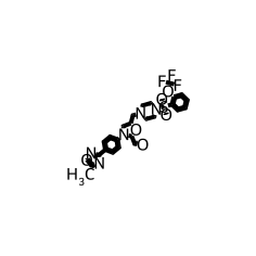 Cc1nc(-c2ccc(N3CC(CN4CCN(S(=O)(=O)c5ccccc5OC(F)(F)F)CC4)OC3C=O)cc2)no1